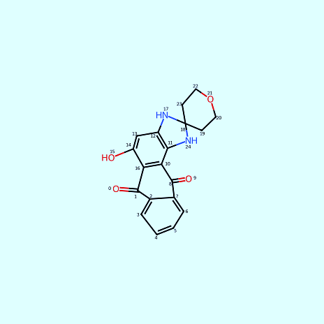 O=C1c2ccccc2C(=O)c2c3c(cc(O)c21)NC1(CCOCC1)N3